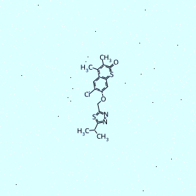 Cc1c(C)c2cc(Cl)c(OCc3nnc(C(C)C)s3)cc2sc1=O